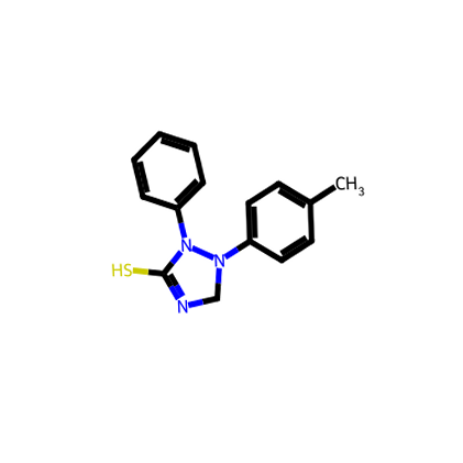 Cc1ccc(N2CN=C(S)N2c2ccccc2)cc1